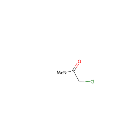 [CH2]NC(=O)CCl